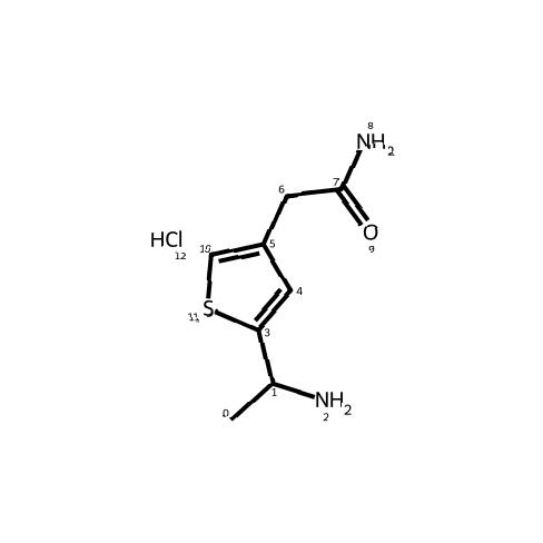 CC(N)c1cc(CC(N)=O)cs1.Cl